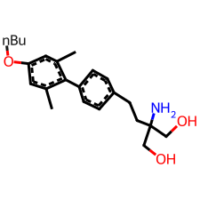 CCCCOc1cc(C)c(-c2ccc(CCC(N)(CO)CO)cc2)c(C)c1